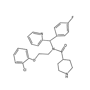 O=C(C1CCNCC1)N(CCOc1ccccc1Cl)C(c1ccc(F)cc1)c1ccccn1